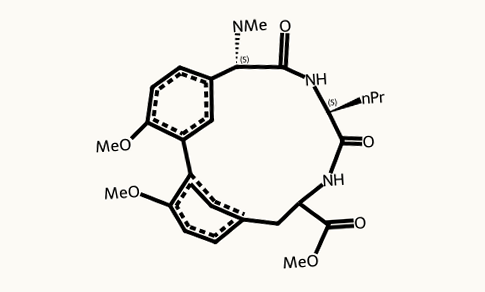 CCC[C@@H]1NC(=O)[C@@H](NC)c2ccc(OC)c(c2)-c2cc(ccc2OC)CC(C(=O)OC)NC1=O